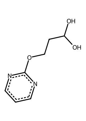 OC(O)CCOc1ncccn1